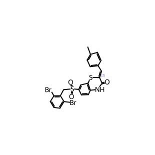 Cc1ccc(/C=C2\Sc3cc(S(=O)(=O)Cc4c(Br)cccc4Br)ccc3NC2=O)cc1